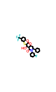 O=c1oc2cc(-c3ccccc3)n(-c3cccc(F)c3)c(=O)c2c(O)c1Sc1cccc(C(F)(F)F)c1